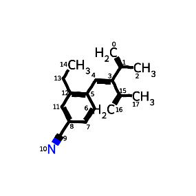 C=C(C)C(=Cc1ccc(C#N)cc1CC)C(=C)C